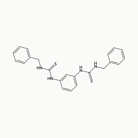 S=C(NCc1ccccc1)Nc1cccc(NC(=S)NCc2ccccc2)c1